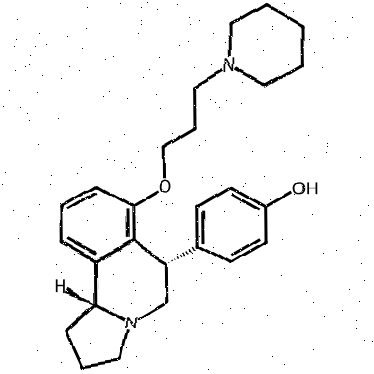 Oc1ccc([C@@H]2CN3CCC[C@@H]3c3cccc(OCCCN4CCCCC4)c32)cc1